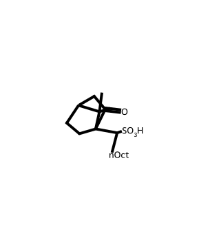 CCCCCCCCC(C12CCC(CC1=O)C2(C)C)S(=O)(=O)O